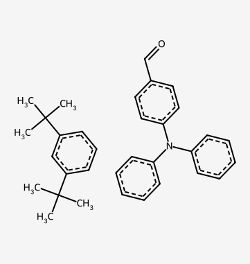 CC(C)(C)c1cccc(C(C)(C)C)c1.O=Cc1ccc(N(c2ccccc2)c2ccccc2)cc1